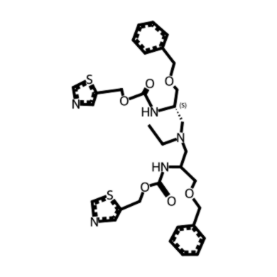 CCN(CC(COCc1ccccc1)NC(=O)OCc1cncs1)C[C@@H](COCc1ccccc1)NC(=O)OCc1cncs1